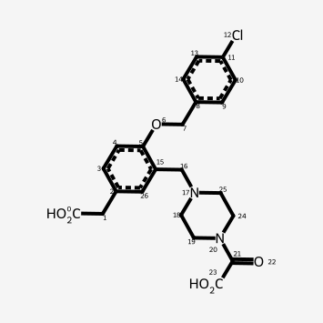 O=C(O)Cc1ccc(OCc2ccc(Cl)cc2)c(CN2CCN(C(=O)C(=O)O)CC2)c1